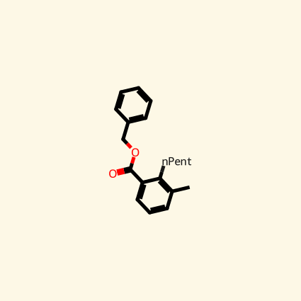 CCCCCc1c(C)cccc1C(=O)OCc1ccccc1